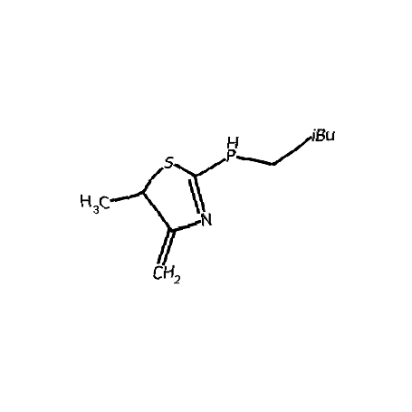 C=C1N=C(PCC(C)CC)SC1C